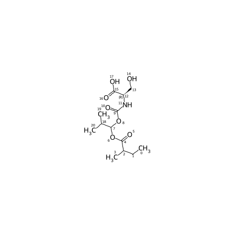 CCC(C)C(=O)OC(OC(=O)N[C@H](CO)C(=O)O)C(C)C